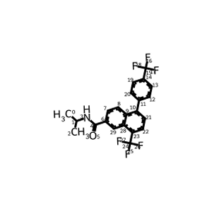 CC(C)NC(=O)c1ccc2c(-c3ccc(C(F)(F)F)cc3)ccc(C(F)(F)F)c2c1